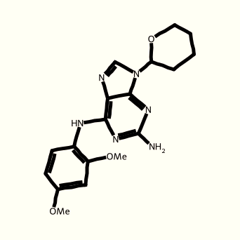 COc1ccc(Nc2nc(N)nc3c2ncn3C2CCCCO2)c(OC)c1